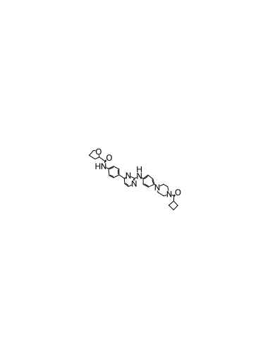 O=C(Nc1ccc(-c2ccnc(Nc3ccc(N4CCN(C(=O)C5CCC5)CC4)cc3)n2)cc1)C1CCCO1